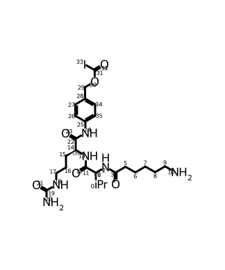 CC(C)[C@H](NC(=O)CCCCCN)C(=O)N[C@@H](CCCNC(N)=O)C(=O)Nc1ccc(COC(=O)I)cc1